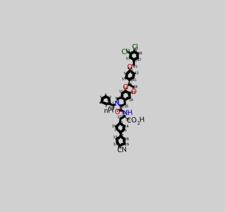 CCC[C@@H](c1ccccc1)N1Cc2cc3c(cc2C[C@H]1C(=O)N[C@@H](Cc1ccc(-c2ccc(C#N)cc2)cc1)C(=O)O)OC[C@H](c1ccc(OCc2ccc(Cl)c(Cl)c2)cc1)O3